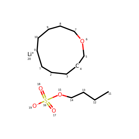 C1CCCCCOCCCC1.CCCCOS(=O)(=O)[O-].[Li+]